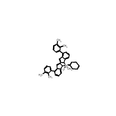 Cc1cccc(-c2cccc3c2C=C[CH]3[Hf]([CH3])([CH3])(=[C]2CCCCC2)[CH]2C=Cc3c(-c4cccc(C)c4C)cccc32)c1C